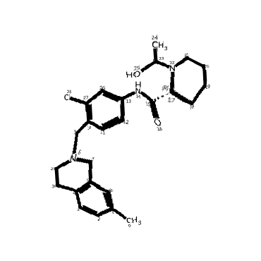 Cc1ccc2c(c1)CN(Cc1ccc(NC(=O)[C@H]3CCCCN3C(C)O)cc1Cl)CC2